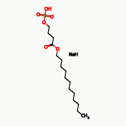 CCCCCCCCCCCCOC(=O)CCCOS(=O)(=O)O.[NaH]